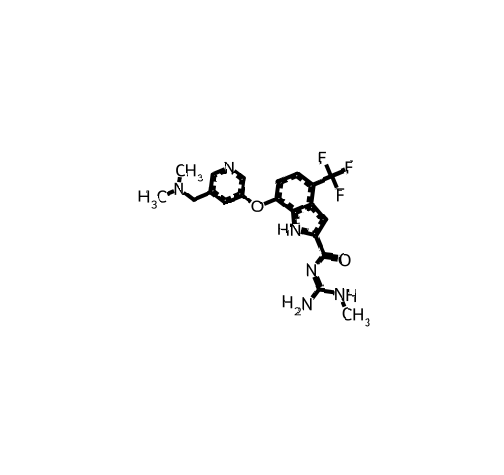 CNC(N)=NC(=O)c1cc2c(C(F)(F)F)ccc(Oc3cncc(CN(C)C)c3)c2[nH]1